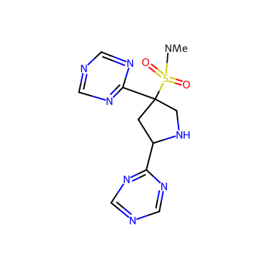 CNS(=O)(=O)C1(c2ncncn2)CNC(c2ncncn2)C1